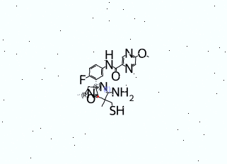 COc1cnc(C(=O)Nc2ccc(F)c([C@]3(/N=C(/N)C(C)(C#N)CS)CO[C@H](C)C3)c2)cn1